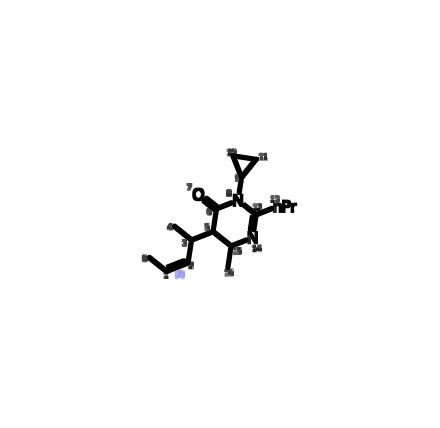 C/C=C\C(C)C1C(=O)N(C2CC2)C(CCC)=NC1C